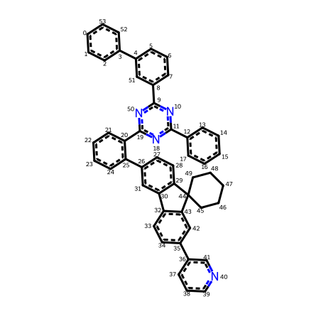 c1ccc(-c2cccc(-c3nc(-c4ccccc4)nc(-c4ccccc4-c4ccc5c(c4)-c4ccc(-c6cccnc6)cc4C54CCCCC4)n3)c2)cc1